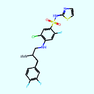 CNC(CNc1cc(F)c(S(=O)(=O)Nc2nccs2)cc1Cl)Cc1ccc(F)c(F)c1